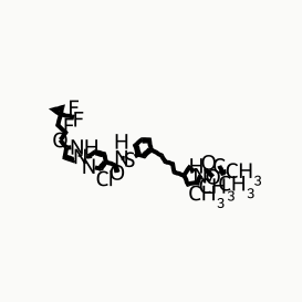 CC(C)(C)OC(=O)N1CC(CCCCc2cccc(SNC(=O)c3ccc(N4C=CC(OCCC5(C(F)(F)F)CC5)N4)nc3Cl)c2)CC1(C)C